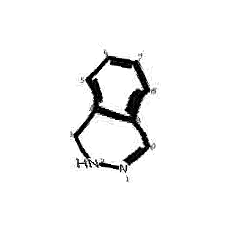 C1=NNCc2ccccc21